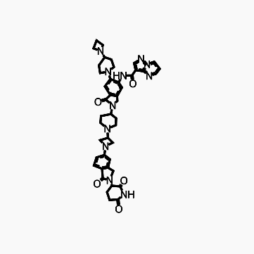 O=C1CCC(N2Cc3cc(N4CC(N5CCC(N6Cc7cc(NC(=O)c8cnn9cccnc89)c(N8CCC(N9CCC9)CC8)cc7C6=O)CC5)C4)ccc3C2=O)C(=O)N1